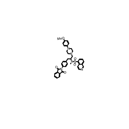 COc1ccc(N2CCN(CC(Cc3ccc(N4C(=O)c5ccccc5C4=O)cc3)N(C)S(=O)(=O)c3cccc4cnccc34)CC2)cc1